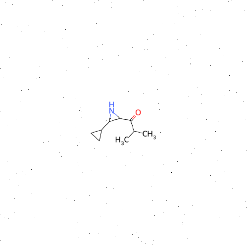 CC(C)C(=O)C1NC1C1CC1